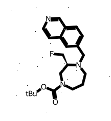 CC(C)(C)OC(=O)N1CCCN(Cc2ccc3cnccc3c2)[C@H](CF)C1